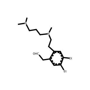 CCc1cc(CC=O)c(CCN(C)CCCN(C)C)cc1CC